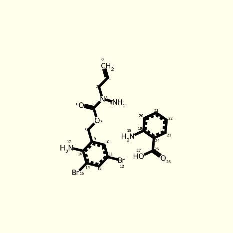 C=CCN(N)C(=O)OCc1cc(Br)cc(Br)c1N.Nc1ccccc1C(=O)O